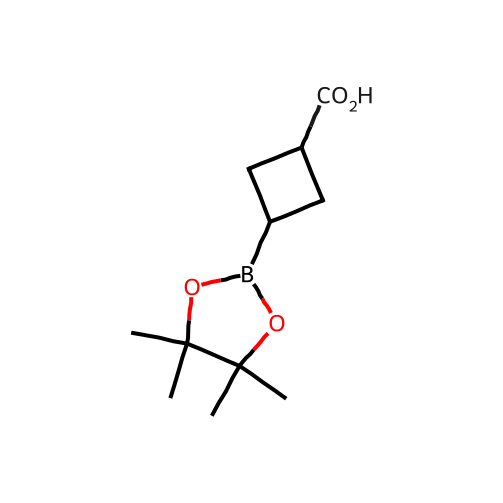 CC1(C)OB(C2CC(C(=O)O)C2)OC1(C)C